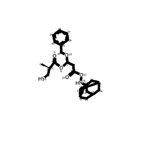 C[C@H](CS)C(=O)OC(CC(=O)ONC12CC3CC(CC(C3)C1)C2)OCc1ccccc1